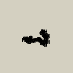 CNC(=O)COc1cc2cc(Nc3nc(N4CCO[C@H](COc5ccc6c(c5)C(=O)N(C5CCC(=O)NC5=O)C6=O)C4)ncc3Cl)ccc2n(C(C)C)c1=O